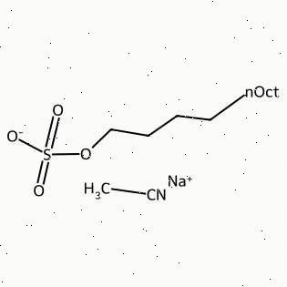 CC#N.CCCCCCCCCCCCOS(=O)(=O)[O-].[Na+]